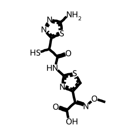 CO/N=C(/C(=O)O)c1csc(NC(=O)C(S)c2nnc(N)s2)n1